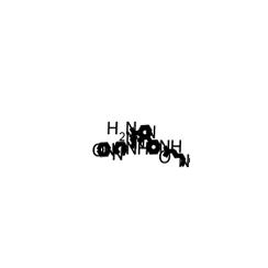 CN(C)C/C=C/C(=O)Nc1cccc(-c2nccc3c(N)nc(Nc4ccc(N5CCOCC5)nc4)nc23)c1